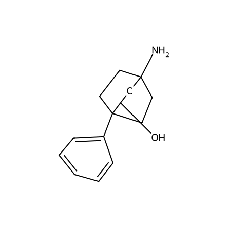 NC12CCC(c3ccccc3)(CC1)C(O)C2